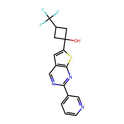 OC1(c2cc3cnc(-c4cccnc4)nc3s2)CC(C(F)(F)F)C1